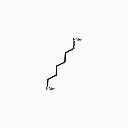 C[N]CCCCCC[N]C